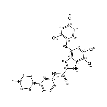 CN1CCN(c2cccc(NC(=O)c3cc4c(Sc5ccc(Cl)cc5Cl)cc(Cl)c(Cl)c4[nH]3)c2)CC1